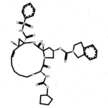 O=C(N[C@H]1CCCCC/C=C\[C@@H]2C[C@@]2(C(=O)NS(=O)(=O)c2ccccc2)NC(=O)[C@@H]2C[C@@H](OC(=O)N3CCc4ccccc4C3)CN2C1=O)OC1CCCC1